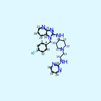 Fc1ccc(Cn2c(NC3CCN(CCNc4ncccn4)CC3)nc3ncccc32)cc1